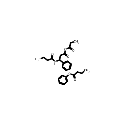 CCCC(=O)NC(CC(=O)OC(=O)CC)c1ccccc1.CCCC(=O)Oc1ccccc1